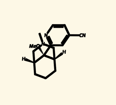 CO[C@@]1(c2cc(C#N)ccn2)[C@@H]2CCC[C@H]1CN(C)C2